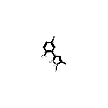 Cc1[c]c(-c2cc(F)ccc2Cl)nn1C